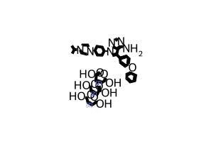 CC(C)N1CCN([C@H]2CC[C@H](n3cc(-c4ccc(Oc5ccccc5)cc4)c4c(N)ncnc43)CC2)CC1.O=C(O)/C=C\C(=O)O.O=C(O)/C=C\C(=O)O.O=C(O)/C=C\C(=O)O